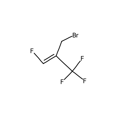 FC=C(CBr)C(F)(F)F